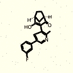 Cc1ncc(-c2cccc(F)c2)cc1C1=C(O)[C@H]2CC[C@H](C2)C1=O